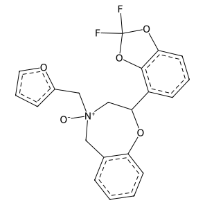 [O-][N+]1(Cc2ccco2)Cc2ccccc2OC(c2cccc3c2OC(F)(F)O3)C1